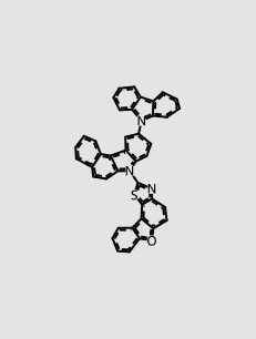 c1ccc2c(c1)ccc1c2c2cc(-n3c4ccccc4c4ccccc43)ccc2n1-c1nc2ccc3oc4ccccc4c3c2s1